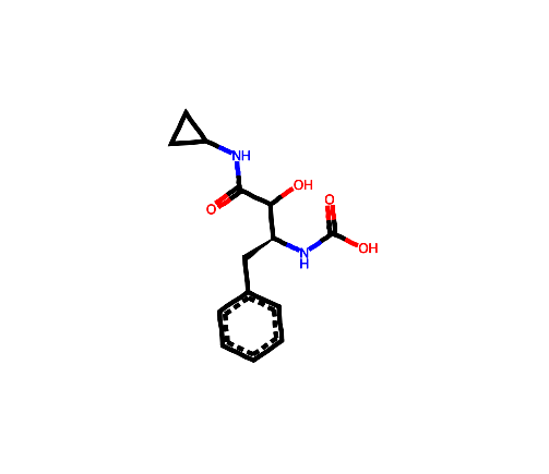 O=C(O)N[C@@H](Cc1ccccc1)C(O)C(=O)NC1CC1